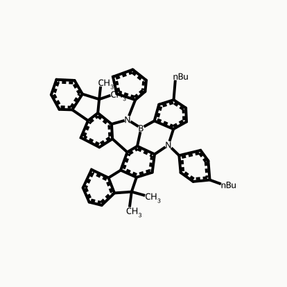 CCCCc1ccc(N2c3ccc(CCCC)cc3B3c4c2cc2c(c4-c4ccc5c(c4N3c3ccccc3)C(C)(C)c3ccccc3-5)-c3ccccc3C2(C)C)cc1